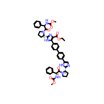 CCOC(=O)c1nc([C@@H]2CCCN2C(=O)C(NC(=O)OC)c2ccccc2)[nH]c1-c1ccc(-c2ccc(-c3cnc([C@@H]4CCCN4C(=O)[C@H](NC(=O)OC)c4ccccc4)[nH]3)cc2)cc1